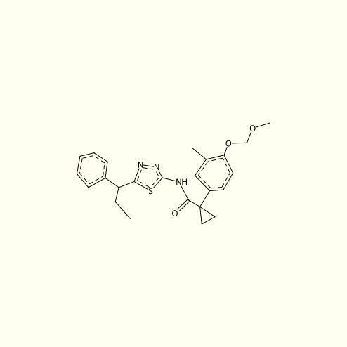 CCC(c1ccccc1)c1nnc(NC(=O)C2(c3ccc(OCOC)c(C)c3)CC2)s1